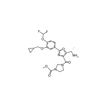 COC(=O)N1CCN(C(=O)c2nc(-c3ccc(OC(F)F)c(OCC4CC4)c3)oc2[C@H](C)N)C1